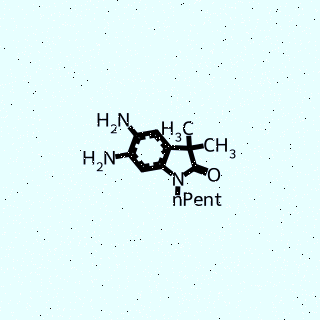 CCCCCN1C(=O)C(C)(C)c2cc(N)c(N)cc21